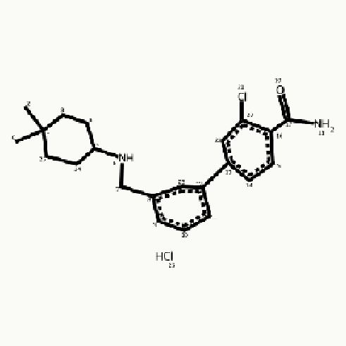 CC1(C)CCC(NCc2cccc(-c3ccc(C(N)=O)c(Cl)c3)c2)CC1.Cl